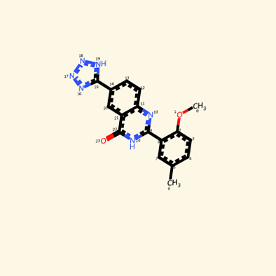 COc1ccc(C)cc1-c1nc2ccc(-c3nnn[nH]3)cc2c(=O)[nH]1